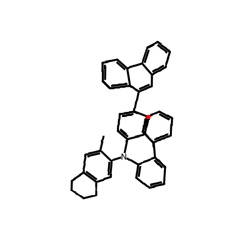 Cc1cc2c(cc1N(c1ccc(-c3cc4ccccc4c4ccccc34)cc1)c1ccccc1-c1ccccc1)CCCC2